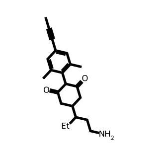 CC#Cc1cc(C)c(C2C(=O)CC(C(CC)CCN)CC2=O)c(C)c1